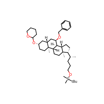 C[C@H](CCCO[Si](C)(C)C(C)(C)C)[C@H]1CC[C@H]2[C@@H]3[C@H](OCc4ccccc4)C[C@H]4C[C@@H](OC5CCCCO5)CC[C@]4(C)[C@H]3CC[C@]12C